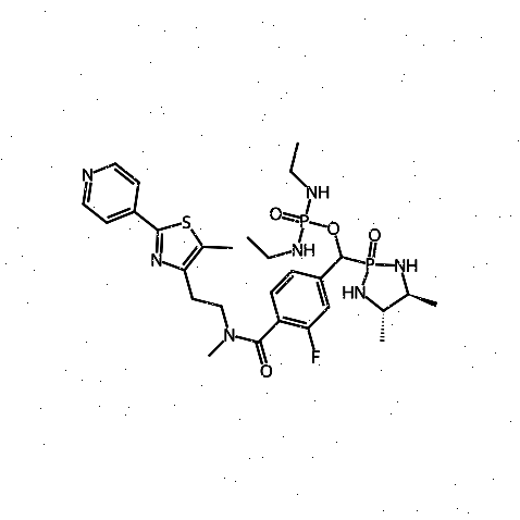 CCNP(=O)(NCC)OC(c1ccc(C(=O)N(C)CCc2nc(-c3ccncc3)sc2C)c(F)c1)P1(=O)N[C@@H](C)[C@H](C)N1